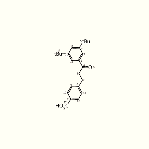 CC(C)(C)c1cc(C(=O)CCc2ccc(C(=O)O)cc2)cc(C(C)(C)C)c1